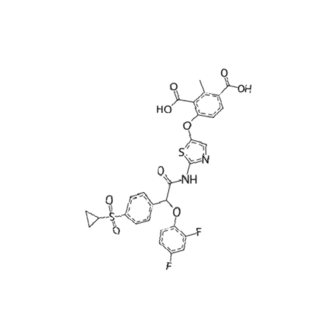 Cc1c(C(=O)O)ccc(Oc2cnc(NC(=O)C(Oc3ccc(F)cc3F)c3ccc(S(=O)(=O)C4CC4)cc3)s2)c1C(=O)O